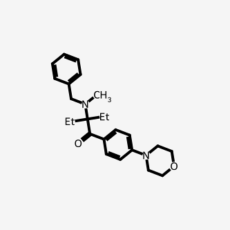 CCC(CC)(C(=O)c1ccc(N2CCOCC2)cc1)N(C)Cc1ccccc1